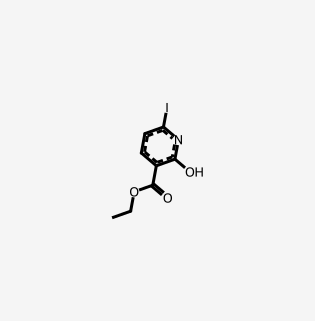 CCOC(=O)c1ccc(I)nc1O